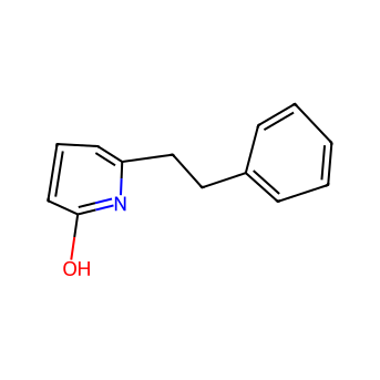 Oc1cccc(CCc2ccccc2)n1